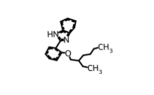 CCCCC(CC)COc1ccccc1-c1nc2ccccc2[nH]1